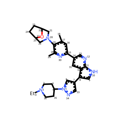 CCN1CCC(n2cc(-c3c[nH]c4ncc(-c5cc(C)c(N6CC7CCC(C6)O7)c(C)n5)cc34)cn2)CC1